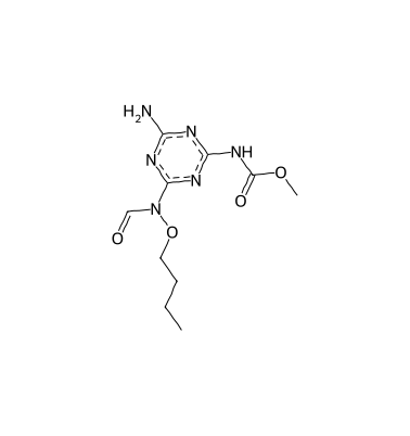 CCCCON(C=O)c1nc(N)nc(NC(=O)OC)n1